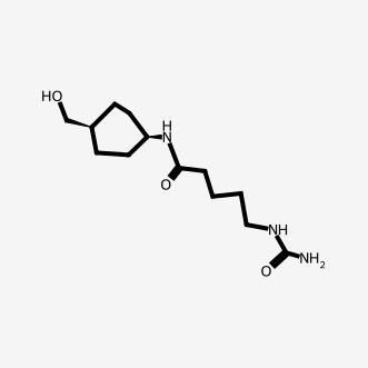 NC(=O)NCCCCC(=O)N[C@H]1CC[C@@H](CO)CC1